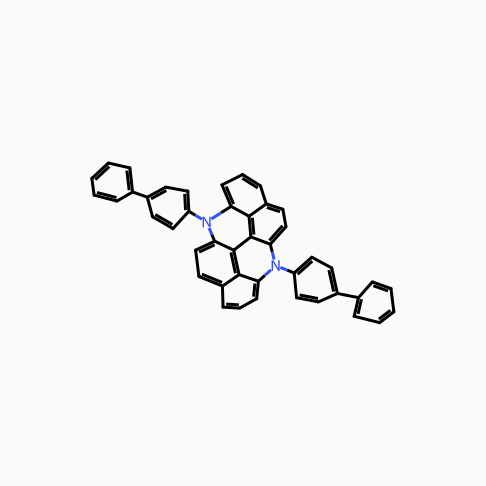 c1ccc(-c2ccc(-n3c4ccc5cccc6c5c4-c4c5c(cccc53)ccc4n6-c3ccc(-c4ccccc4)cc3)cc2)cc1